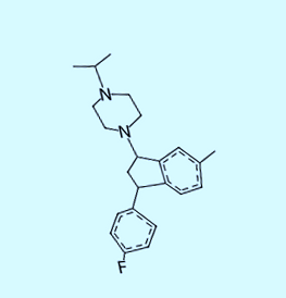 Cc1ccc2c(c1)C(N1CCN(C(C)C)CC1)CC2c1ccc(F)cc1